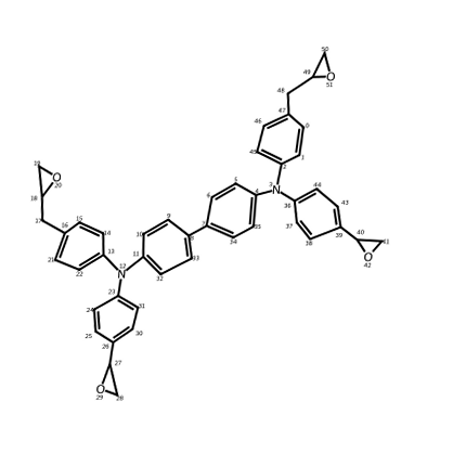 c1cc(N(c2ccc(-c3ccc(N(c4ccc(CC5CO5)cc4)c4ccc(C5CO5)cc4)cc3)cc2)c2ccc(C3CO3)cc2)ccc1CC1CO1